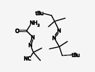 CC(C)(C#N)N=NC(N)=O.CC(C)(C)CC(C)(C)N=NC(C)(C)CC(C)(C)C